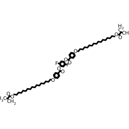 C=C(C)C(=O)OCCCCCCCCCCCCCCCCCOc1ccc(C(=O)Oc2cc(F)c(OC(=O)c3ccc(OCCCCCCCCCCCCCCCCCOC(=O)C(=C)C)cc3)cc2F)cc1